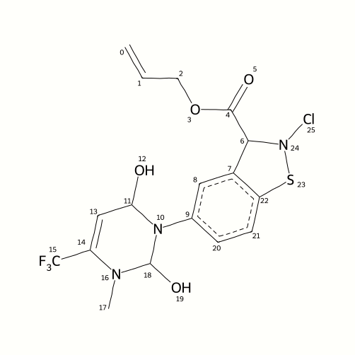 C=CCOC(=O)C1c2cc(N3C(O)C=C(C(F)(F)F)N(C)C3O)ccc2SN1Cl